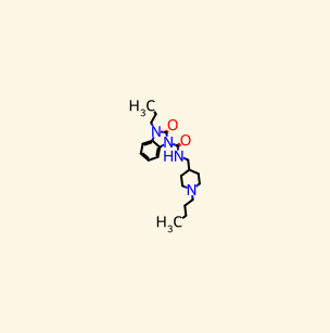 CCCCN1CCC(CNC(=O)n2c(=O)n(CCC)c3ccccc32)CC1